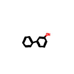 Oc1[c]ccc(-c2ccccc2)c1